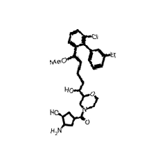 CCc1cccc(-c2c(Cl)cccc2C(CCCC(O)C2CN(C(=O)C3CC(N)C(O)C3)CCO2)OC)c1